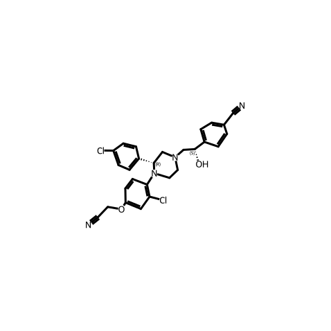 N#CCOc1ccc(N2CCN(C[C@@H](O)c3ccc(C#N)cc3)C[C@H]2c2ccc(Cl)cc2)c(Cl)c1